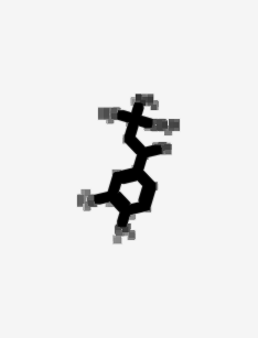 CCC(CC(C)(N)C(=O)O)c1ccc(C(F)(F)F)c(C(F)(F)F)c1